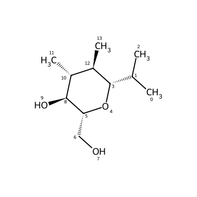 CC(C)[C@@H]1O[C@H](CO)[C@@H](O)[C@H](C)[C@H]1C